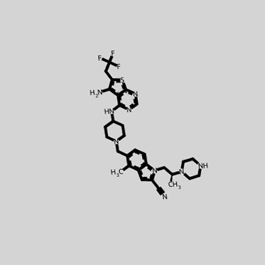 Cc1c(CN2CCC(Nc3ncnc4sc(CC(F)(F)F)c(N)c34)CC2)ccc2c1cc(C#N)n2C[C@H](C)N1CCNCC1